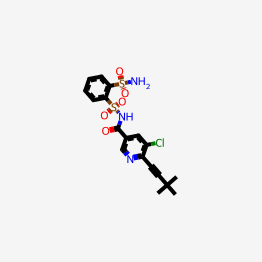 CC(C)(C)C#Cc1ncc(C(=O)NS(=O)(=O)c2ccccc2S(N)(=O)=O)cc1Cl